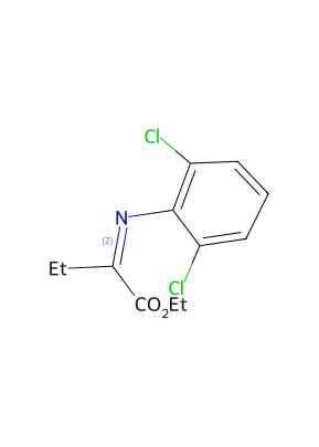 CCOC(=O)/C(CC)=N\c1c(Cl)cccc1Cl